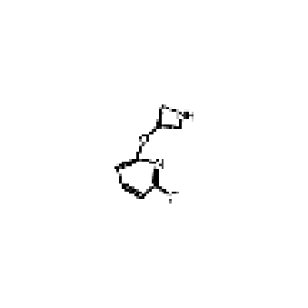 Fc1cccc(OC2CNC2)n1